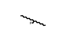 CC[CH]CCCCC(CF)CCCCCCCC